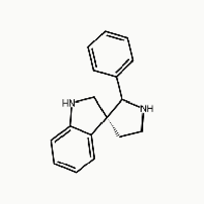 c1ccc(C2NCC[C@]23CNc2ccccc23)cc1